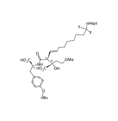 CCCCCCCC(F)(F)CCCCCCC=C[C@H](C(=O)N[C@@H](Cc1ccc(OCCCC)cc1)C(=O)O)[C@@](O)(CCOC)C(=O)O